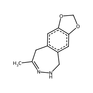 CC1=NNCc2cc3c(cc2C1)OCO3